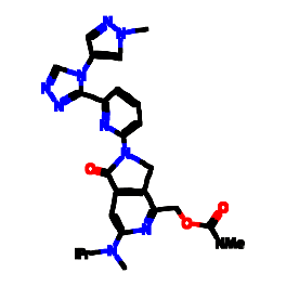 CNC(=O)OCc1nc(N(C)C(C)C)cc2c1CN(c1cccc(-c3nncn3-c3cnn(C)c3)n1)C2=O